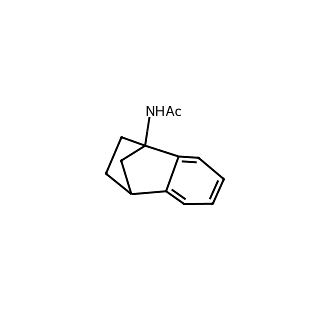 CC(=O)NC12CCC(C1)c1ccccc12